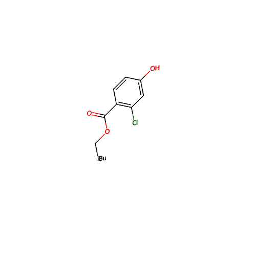 CCC(C)COC(=O)c1ccc(O)cc1Cl